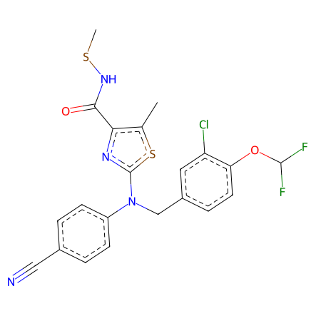 CSNC(=O)c1nc(N(Cc2ccc(OC(F)F)c(Cl)c2)c2ccc(C#N)cc2)sc1C